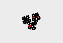 CN1c2ccccc2C(c2ccccc2)(c2ccccc2)c2cccc(-c3cccc4c(-c5ccccc5-c5ccccc5)c5cccc(-c6cccc7c6N(C)c6ccccc6C7(c6ccccc6)c6ccccc6)c5cc34)c21